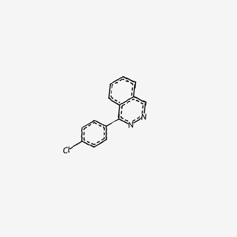 Clc1ccc(-c2nncc3ccccc23)cc1